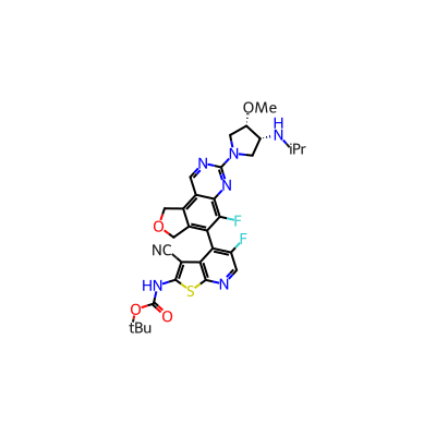 CO[C@H]1CN(c2ncc3c4c(c(-c5c(F)cnc6sc(NC(=O)OC(C)(C)C)c(C#N)c56)c(F)c3n2)COC4)C[C@H]1NC(C)C